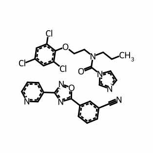 CCCN(CCOc1c(Cl)cc(Cl)cc1Cl)C(=O)n1ccnc1.N#Cc1cccc(-c2nc(-c3cccnc3)no2)c1